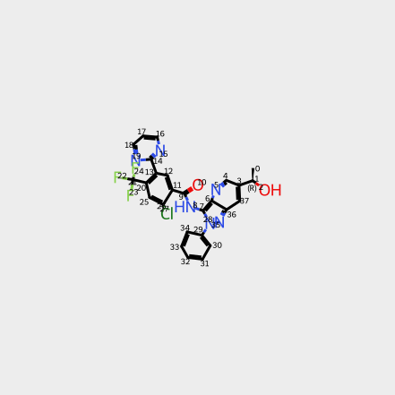 C[C@@H](O)c1cnc2c(NC(=O)c3cc(-c4ncccn4)c(C(F)(F)F)cc3Cl)n(-c3ccccc3)nc2c1